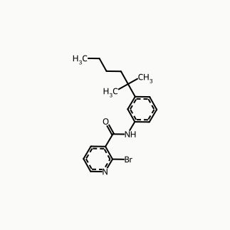 CCCCC(C)(C)c1cccc(NC(=O)c2cccnc2Br)c1